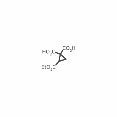 CCOC(=O)C1CC1(C(=O)O)C(=O)O